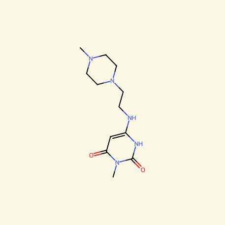 CN1CCN(CCNc2cc(=O)n(C)c(=O)[nH]2)CC1